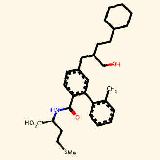 CSCC[C@H](NC(=O)c1ccc(CC(CO)CCC2CCCCC2)cc1-c1ccccc1C)C(=O)O